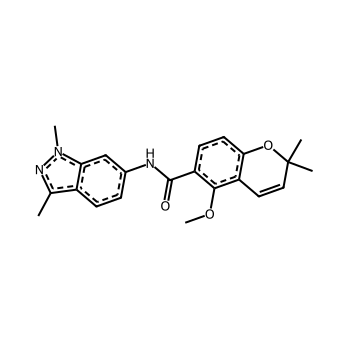 COc1c(C(=O)Nc2ccc3c(C)nn(C)c3c2)ccc2c1C=CC(C)(C)O2